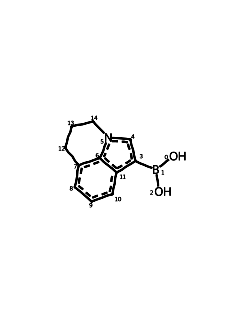 OB(O)c1cn2c3c(cccc13)CCC2